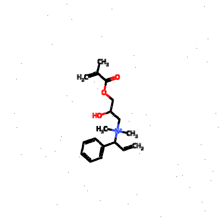 C=CC(c1ccccc1)[N+](C)(C)CC(O)COC(=O)C(=C)C